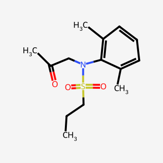 CCCS(=O)(=O)N(CC(C)=O)c1c(C)cccc1C